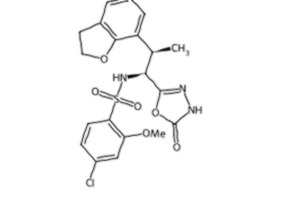 COc1cc(Cl)ccc1S(=O)(=O)N[C@H](c1n[nH]c(=O)o1)[C@H](C)c1cccc2c1OCC2